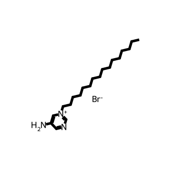 CCCCCCCCCCCCCCCC[n+]1cncc(N)c1.[Br-]